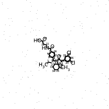 CCC[C@H](c1ccc(C(=O)NCCC(=O)O)cc1)N1C(=O)C(c2cc(Cl)cc(Cl)c2)=NC12CCCCC2C